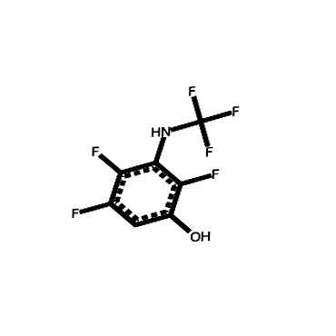 Oc1cc(F)c(F)c(NC(F)(F)F)c1F